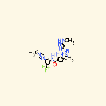 CNc1cc(-n2ncnc2Nc2cc(C(=O)Nc3cc(N4CCN(C)CC4)cc(C(F)(F)F)c3)ccc2C)ncn1